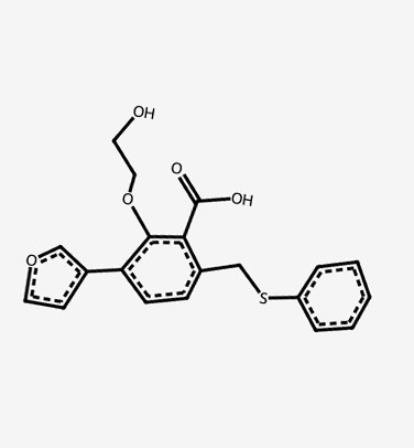 O=C(O)c1c(CSc2ccccc2)ccc(-c2ccoc2)c1OCCO